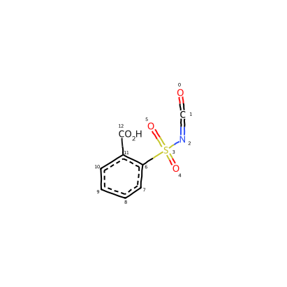 O=C=NS(=O)(=O)c1ccccc1C(=O)O